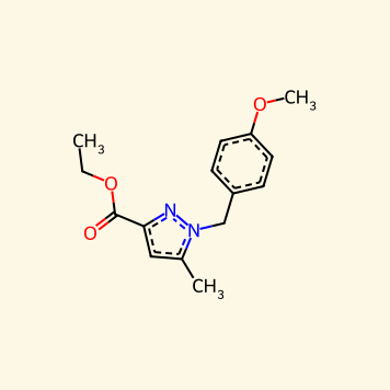 CCOC(=O)c1cc(C)n(Cc2ccc(OC)cc2)n1